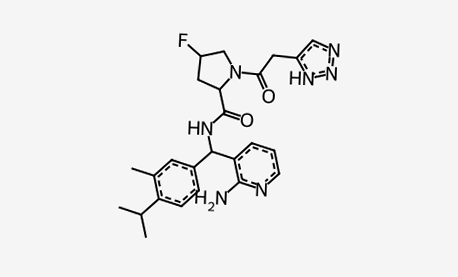 Cc1cc(C(NC(=O)C2CC(F)CN2C(=O)Cc2cnn[nH]2)c2cccnc2N)ccc1C(C)C